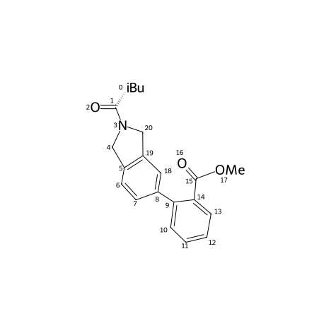 CC[C@@H](C)C(=O)N1Cc2ccc(-c3ccccc3C(=O)OC)cc2C1